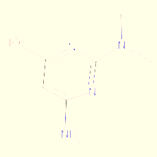 CN(C)c1nc(N)cc(O)n1